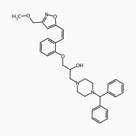 COCc1cc(/C=C\c2ccccc2OCC(O)CN2CCN(C(c3ccccc3)c3ccccc3)CC2)on1